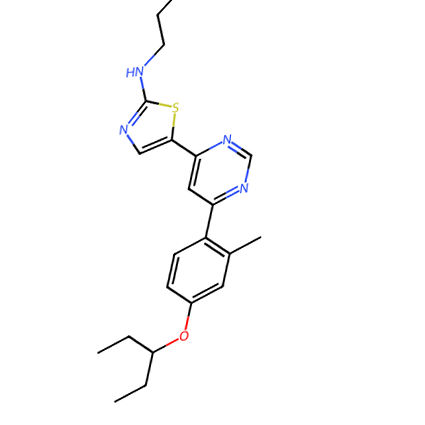 CCCNc1ncc(-c2cc(-c3ccc(OC(CC)CC)cc3C)ncn2)s1